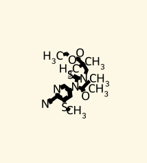 CCOC(=O)C(C)(C)CN1C(=S)N(c2cnc(C#N)c(SC)c2)C(=O)C1(C)C